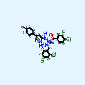 Cc1ccc(-c2cc(N/C(=N\C(=O)c3ccc(Cl)c(F)c3)NCc3ccc(F)cc3Cl)[nH]n2)cc1